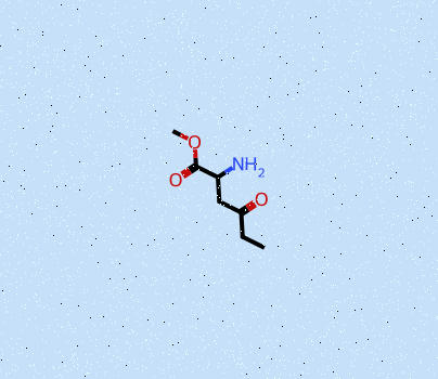 CCC(=O)CC(N)C(=O)OC